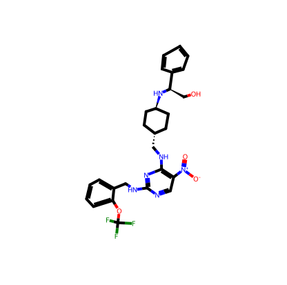 O=[N+]([O-])c1cnc(NCc2ccccc2OC(F)(F)F)nc1NC[C@H]1CC[C@H](N[C@H](CO)c2ccccc2)CC1